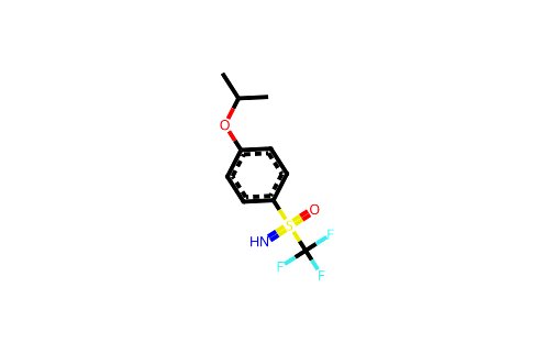 CC(C)Oc1ccc(S(=N)(=O)C(F)(F)F)cc1